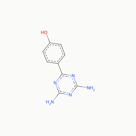 Nc1nc(N)nc(-c2ccc(O)cc2)n1